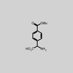 CC(C)COC(=O)c1ccc(C(N)C(=O)O)cc1